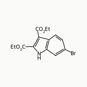 CCOC(=O)c1[nH]c2cc(Br)ccc2c1C(=O)OCC